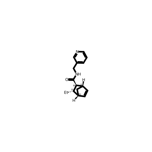 CC[C@@H]1[C@@H](C(=O)NCc2cccnc2)[C@@H]2C=C[C@H]1C2